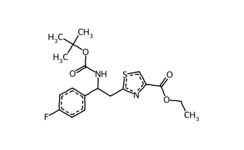 CCOC(=O)c1csc(CC(NC(=O)OC(C)(C)C)c2ccc(F)cc2)n1